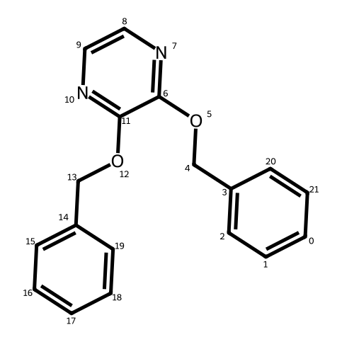 c1ccc(COc2nccnc2OCc2ccccc2)cc1